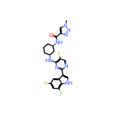 Cn1cc(C(=O)N[C@@H]2CCC[C@H](Nc3nc(-c4c[nH]c5c(F)cc(F)cc45)ncc3F)C2)nn1